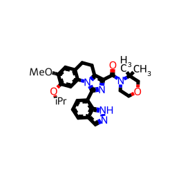 COc1cc2c(cc1OC(C)C)-n1c(-c3cccc4cn[nH]c34)nc(C(=O)N3CCOCC3(C)C)c1CC2